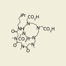 CC(C)CCCNC(=O)CN(C)C(=O)CN(C)C(=O)CN(C)CN1CCN(CC(=O)O)CCN(CC(=O)O)CCN(CC(=O)O)CC1